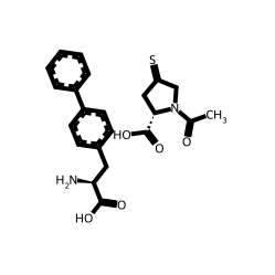 CC(=O)N1CC(=S)C[C@H]1C(=O)O.N[C@@H](Cc1ccc(-c2ccccc2)cc1)C(=O)O